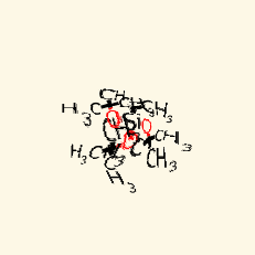 CC[Si](OC(C)(C)C)(OC(C)(C)C)OC(C)(C)C